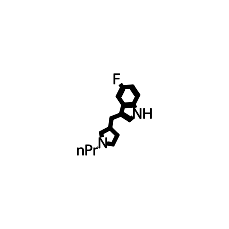 CCCN1CCC(Cc2c[nH]c3ccc(F)cc23)C1